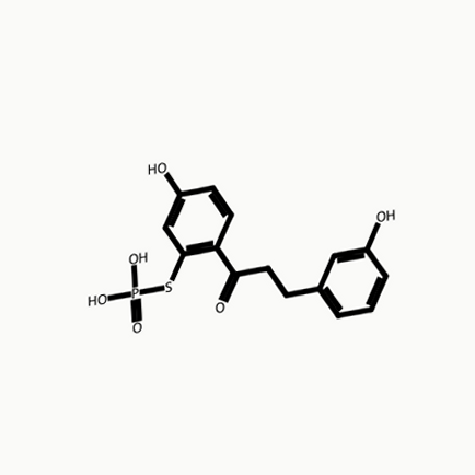 O=C(CCc1cccc(O)c1)c1ccc(O)cc1SP(=O)(O)O